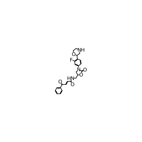 O=C(/C=C/C(=O)c1ccccc1)NCC1CN(c2ccc(C3CNCCO3)c(F)c2)C(=O)O1